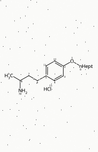 CCCCCCCOc1ccc(CCC(C)N)cc1.Cl